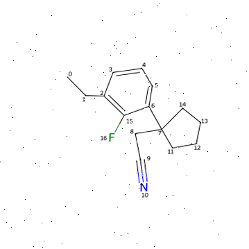 CCc1cccc(C2(CC#N)CCCC2)c1F